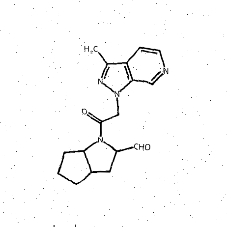 Cc1nn(CC(=O)N2C(C=O)CC3CCCC32)c2cnccc12